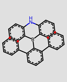 c1ccc(-c2cccc(-c3ccccc3)c2B2c3ccccc3Nc3ccccc32)cc1